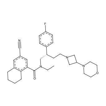 CCN(C[C@@H](CCN1CC(N2CCOCC2)C1)c1ccc(F)cc1)C(=O)c1cc(C#N)cc2c1CCCC2